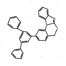 c1ccc(-c2cc(-c3ccccc3)cc(-c3ccc4c(c3)-n3c(nc5ccccc53)SC4)c2)cc1